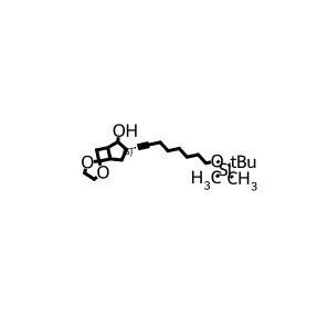 CC(C)(C)[Si](C)(C)OCCCCCCC#C[C@@H]1CC2C(CC23OCCO3)C1O